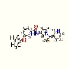 CC(C)Oc1cccc(C(=O)Nc2ccn3c2CSC3c2cccnc2)c1